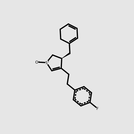 [O-][S+]1C=C(CCc2ccc(F)cc2)[C@H](CC2=CC=CCC2)C1